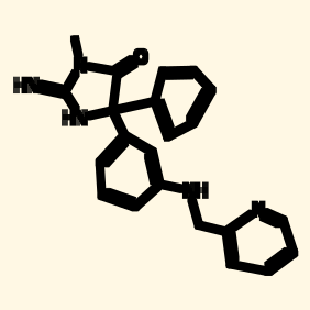 CN1C(=N)NC(c2ccccc2)(c2cccc(NCc3ccccn3)c2)C1=O